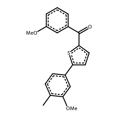 COc1cccc(C(=O)c2ccc(-c3ccc(C)c(OC)c3)s2)c1